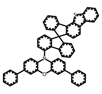 c1ccc(-c2ccc3c(c2)Oc2cc(-c4ccccc4)ccc2N3c2cccc3c2-c2ccccc2C32c3ccccc3-c3c2ccc2c3sc3ccccc32)cc1